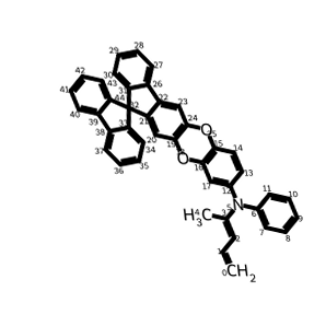 C=C/C=C(\C)N(c1ccccc1)c1ccc2c(c1)Oc1cc3c(cc1O2)-c1ccccc1C31c2ccccc2-c2ccccc21